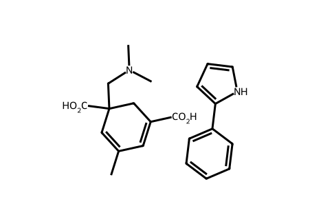 CC1=CC(CN(C)C)(C(=O)O)CC(C(=O)O)=C1.c1ccc(-c2ccc[nH]2)cc1